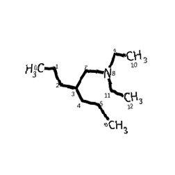 CCCC(CCC)CN(CC)CC